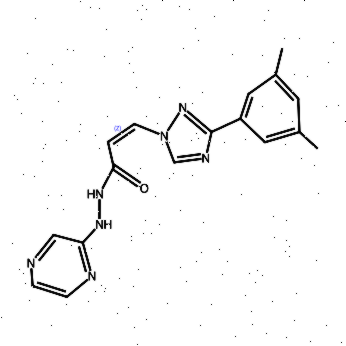 Cc1cc(C)cc(-c2ncn(/C=C\C(=O)NNc3cnccn3)n2)c1